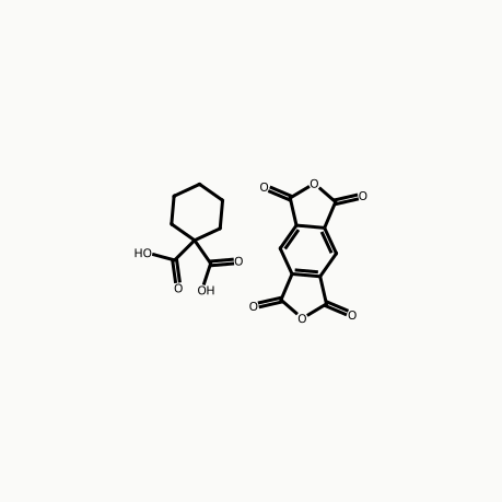 O=C(O)C1(C(=O)O)CCCCC1.O=c1oc(=O)c2cc3c(=O)oc(=O)c3cc12